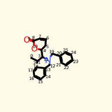 CC(C)C(C1CC=CC(=O)O1)N(Cc1ccccc1)Cc1ccccc1